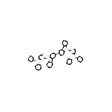 c1ccc(N(c2ccccc2)c2ccnc(-n3c4ccccc4c4cc(-c5ccc6c(c5)c5ccccc5n6-c5nccc(N(c6ccccc6)c6ccccc6)n5)ccc43)n2)cc1